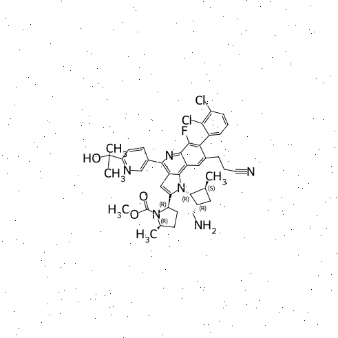 COC(=O)N1[C@H](C)CC[C@@H]1c1cc2c(-c3ccc(C(C)(C)O)nc3)nc3c(F)c(-c4cccc(Cl)c4Cl)c(CCC#N)cc3c2n1[C@H]1[C@@H](CN)C[C@@H]1C